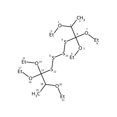 CCOC(C)C(OCC)(OCC)SSSSC(OCC)(OCC)C(C)OCC